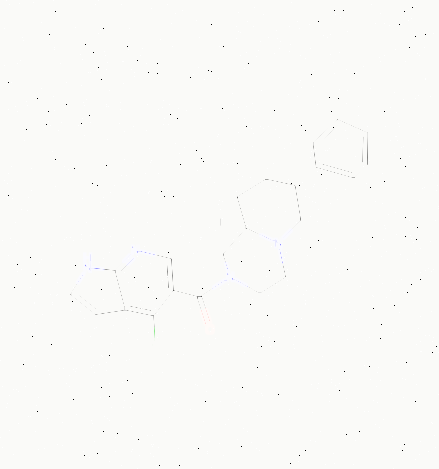 O=C(c1cnc2[nH]ccc2c1Cl)N1CCN2C[C@@H](c3ccccc3)CC[C@@H]2C1